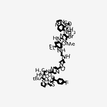 CCc1cc(Nc2ncc(Br)c(Nc3ccc4nccnc4c3P(C)(C)=O)n2)c(OC)cc1NCCNC1CN(C(=O)c2cnc(C(=O)N[C@@H](C)C(=O)N[C@H](C(=O)N3CCC[C@H]3c3csc(C(=O)c4ccc(F)cc4)n3)C(C)(C)C)cn2)C1